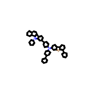 c1ccc(-c2ccc(N(c3ccc(-c4ccc5c6ccc7ccccc7c6n(-c6ccccc6)c5c4)cc3)c3ccc4c(c3)sc3c(-c5ccccc5)cccc34)cc2)cc1